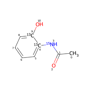 CC(=O)[15NH][13c]1cccc[13c]1O